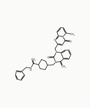 C=C(NCc1ccccc1)C1CCC(CN2C(=C)c3ccccc3N(Cc3cc(=O)n4c(C)cccc4n3)C2=O)CC1